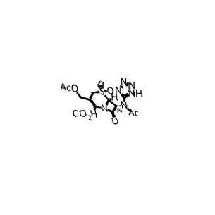 CC(=O)OCC1=C(C(=O)O)N2C(=O)[C@@H](N(C(C)=O)c3nnn[nH]3)[C@H]2S(=O)(=O)C1